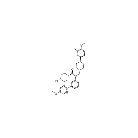 COc1cnc(-c2cccc(N(C[C@H]3CC[C@H](c4ccc(OC)c(C)c4)CC3)C(=O)[C@H]3CC[C@H](O)CC3)c2)nc1